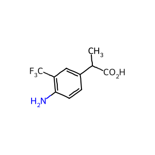 CC(C(=O)O)c1ccc(N)c(C(F)(F)F)c1